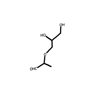 CC(C=O)OCC(O)CO